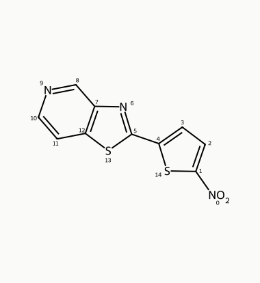 O=[N+]([O-])c1ccc(-c2nc3cnccc3s2)s1